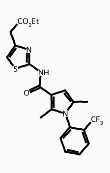 CCOC(=O)Cc1csc(NC(=O)c2cc(C)n(-c3ccccc3C(F)(F)F)c2C)n1